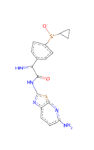 N=C(C(=O)Nc1nc2ccc(N)nc2s1)c1ccc([S+]([O-])C2CC2)cc1